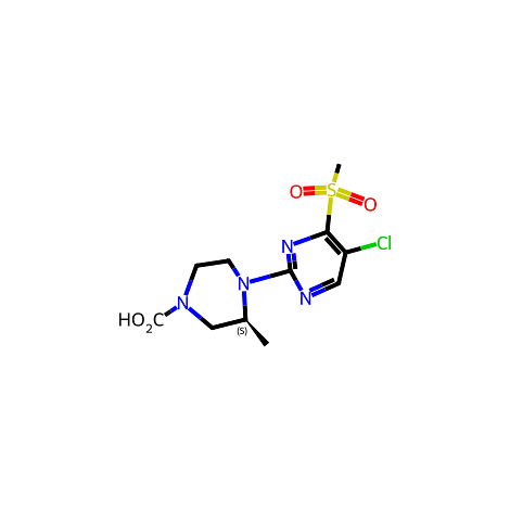 C[C@H]1CN(C(=O)O)CCN1c1ncc(Cl)c(S(C)(=O)=O)n1